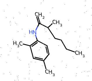 C=C(Nc1ccc(C)cc1C)C(C)CCCC